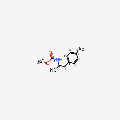 CC(=O)c1ccc(CC(C#N)NC(=O)OC(C)(C)C)cc1